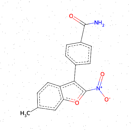 Cc1ccc2c(-c3ccc(C(N)=O)cc3)c([N+](=O)[O-])oc2c1